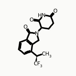 C[C@H](c1cccc2c1CN(C1CCC(=O)NC1=O)C2=O)C(F)(F)F